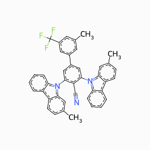 Cc1cc(-c2cc(-n3c4ccccc4c4ccc(C)cc43)c(C#N)c(-n3c4ccccc4c4ccc(C)cc43)c2)cc(C(F)(F)F)c1